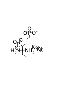 CCC(N)(N)C(CCCP(=O)([O-])[O-])P(=O)([O-])[O-].[K+].[K+].[K+].[K+]